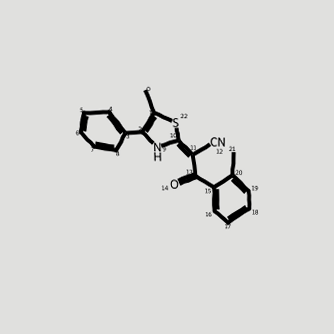 CC1=C(c2ccccc2)N/C(=C(/C#N)C(=O)c2ccccc2C)S1